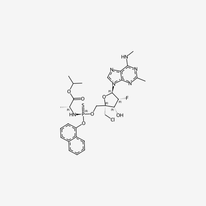 CNc1nc(C)nc2c1ncn2[C@@H]1O[C@](CCl)(CO[P@](=S)(N[C@H](C)C(=O)OC(C)C)Oc2cccc3ccccc23)[C@@H](O)[C@H]1F